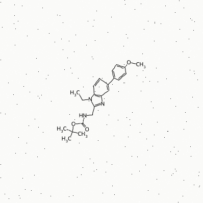 CCn1c(CNC(=O)OC(C)(C)C)nc2cc(-c3ccc(OC)cc3)ccc21